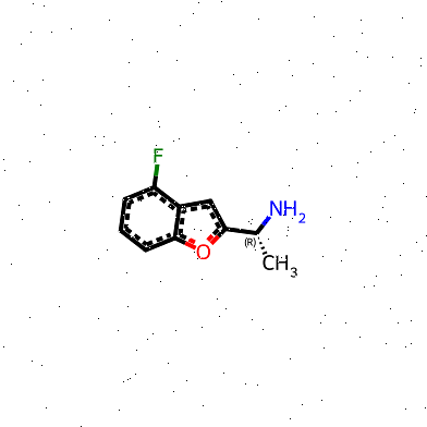 C[C@@H](N)c1cc2c(F)cccc2o1